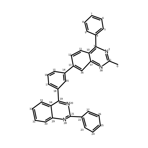 Cc1nc(-c2ccccc2)c2ccc(-c3cccc(-c4nc(-c5ccccc5)nc5ccccc45)c3)cc2n1